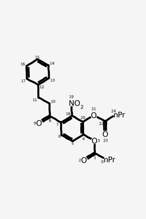 CCCC(=O)Oc1ccc(C(=O)CCc2ccccc2)c([N+](=O)[O-])c1OC(=O)CCC